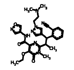 CCOc1c(C(=O)Nc2cnoc2)nc(C(C)C(c2cnn(CCN(C)C)c2)c2ccccc2C#N)n(C)c1=O